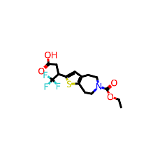 CCOC(=O)N1CCc2cc(C(CC(=O)O)C(F)(F)F)sc2CC1